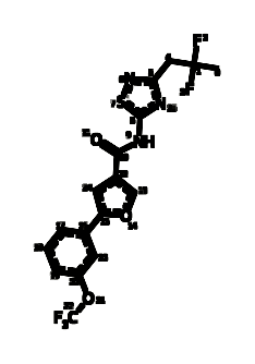 CC(F)(F)Cc1nsc(NC(=O)c2coc(-c3cccc(OC(F)(F)F)c3)c2)n1